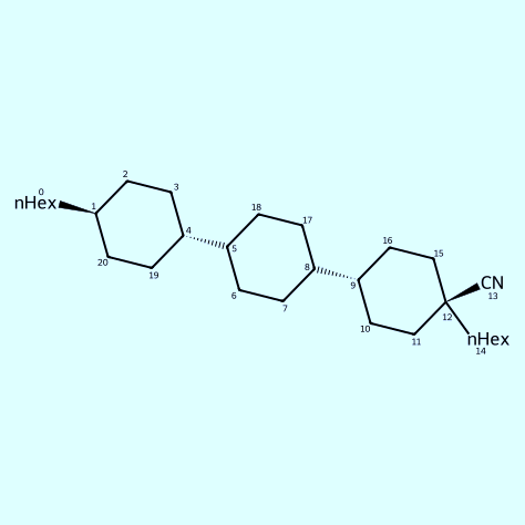 CCCCCC[C@H]1CC[C@H](C2CCC([C@H]3CC[C@@](C#N)(CCCCCC)CC3)CC2)CC1